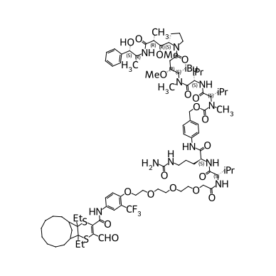 CCC(C)[C@@H]([C@@H](CC(=O)N1CCC[C@H]1[C@H](OC)[C@@H](C)C(=O)N[C@H](C)[C@@H](O)c1ccccc1)OC)N(C)C(=O)[C@@H](NC(=O)[C@H](C(C)C)N(C)C(=O)OCc1ccc(NC(=O)[C@H](CCCNC(N)=O)NC(=O)[C@@H](NC(=O)COCCOCCOCCOc2ccc(NC(=O)C3=C(C=O)SC4(CC)C5CCCCCCCCC(C5)C4(CC)S3)cc2C(F)(F)F)C(C)C)cc1)C(C)C